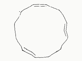 [CH]1/C=C\C/C=C\CC/C=C\CC1